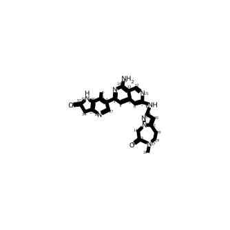 Cc1c(-c2cc3cc(Nc4cc5n(n4)CC(=O)N(C)CC5)ncc3c(N)n2)cnc2c1NC(=O)C2